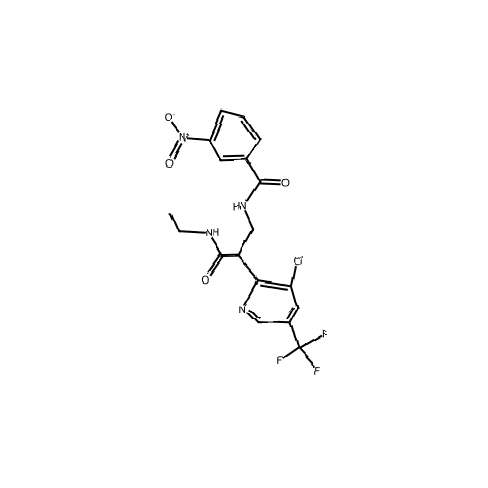 CCNC(=O)C(CNC(=O)c1cccc([N+](=O)[O-])c1)c1ncc(C(F)(F)F)cc1Cl